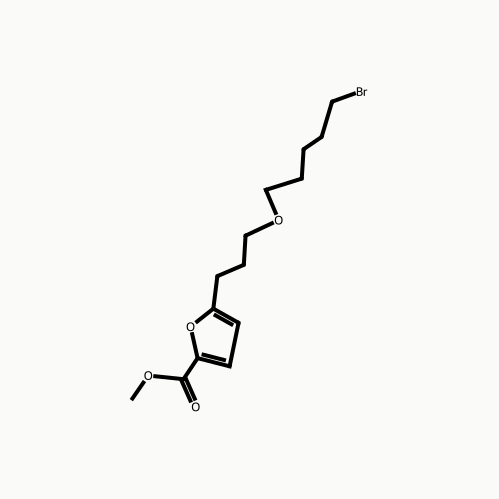 COC(=O)c1ccc(CCCOCCCCCBr)o1